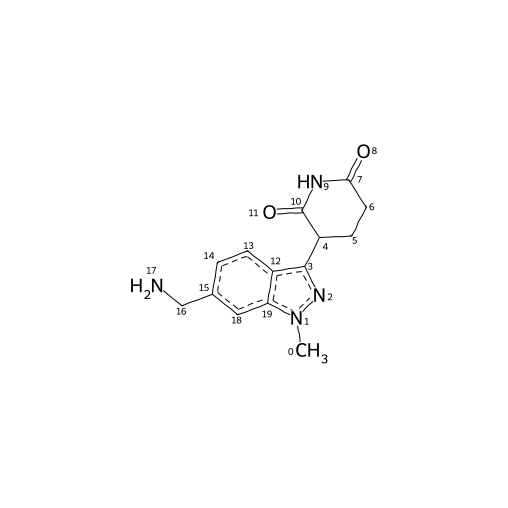 Cn1nc(C2CCC(=O)NC2=O)c2ccc(CN)cc21